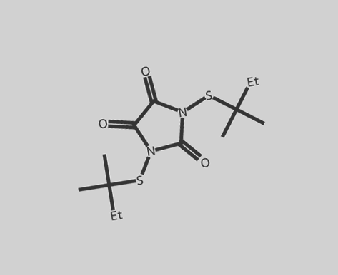 CCC(C)(C)SN1C(=O)C(=O)N(SC(C)(C)CC)C1=O